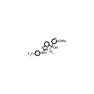 COc1cc(C(C)(O)c2cccc3nc(Nc4ccc(C(F)(F)F)cc4)nn23)ccn1